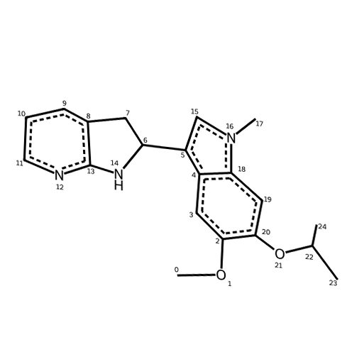 COc1cc2c(C3Cc4cccnc4N3)cn(C)c2cc1OC(C)C